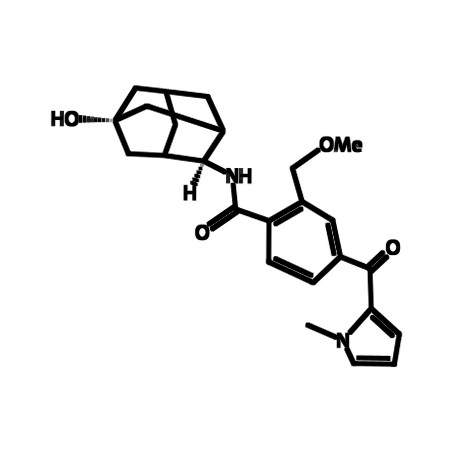 COCc1cc(C(=O)c2cccn2C)ccc1C(=O)N[C@H]1C2CC3CC1C[C@](O)(C3)C2